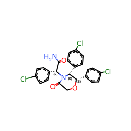 NC(=O)[C@@H](c1ccc(Cl)cc1)N1C(=O)CO[C@@H](c2ccc(Cl)cc2)[C@H]1c1ccc(Cl)cc1